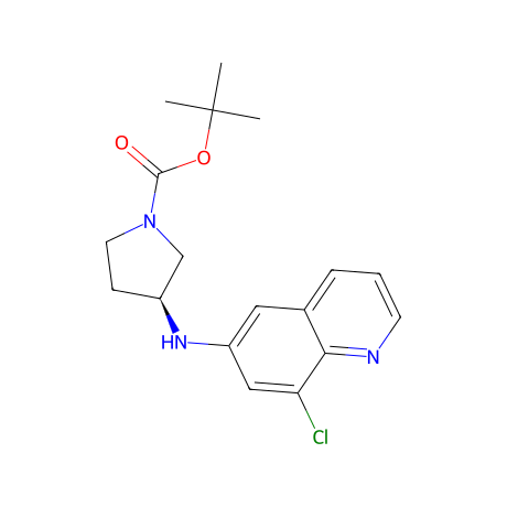 CC(C)(C)OC(=O)N1CC[C@H](Nc2cc(Cl)c3ncccc3c2)C1